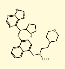 O=CN(CCN1CCOCC1)Cc1ccc(O[C@@H](c2ncnc3[nH]cnc23)C2CCCN2)c2ccccc12